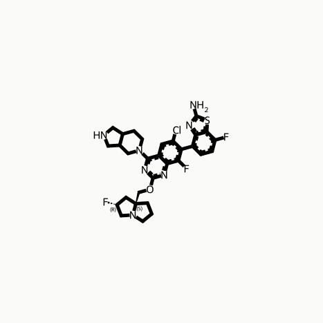 Nc1nc2c(-c3c(Cl)cc4c(N5CCC6CNCC6C5)nc(OC[C@@]56CCCN5C[C@H](F)C6)nc4c3F)ccc(F)c2s1